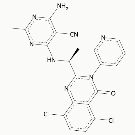 Cc1nc(N)c(C#N)c(N[C@@H](C)c2nc3c(Cl)ccc(Cl)c3c(=O)n2-c2cccnc2)n1